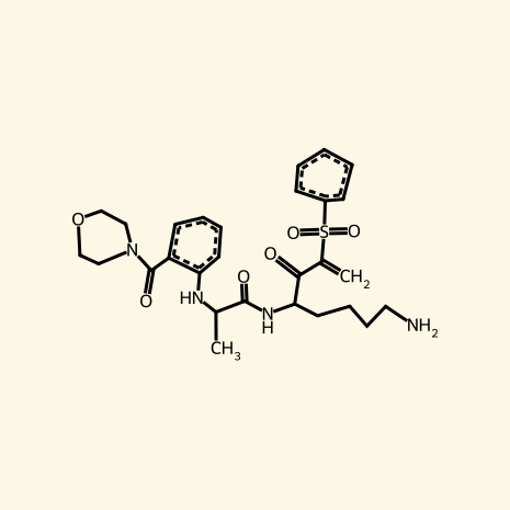 C=C(C(=O)C(CCCCN)NC(=O)C(C)Nc1ccccc1C(=O)N1CCOCC1)S(=O)(=O)c1ccccc1